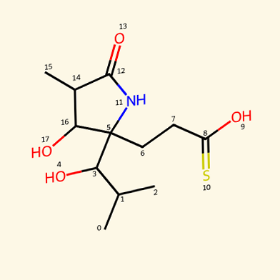 CC(C)C(O)C1(CCC(O)=S)NC(=O)C(C)C1O